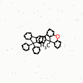 CC1(c2ccccc2)c2ccccc2Oc2cccc(-c3ccc4c(c3)-c3ccccc3C4(c3ccccc3)c3ccccc3)c21